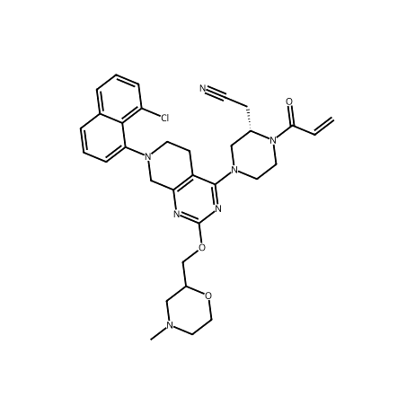 C=CC(=O)N1CCN(c2nc(OCC3CN(C)CCO3)nc3c2CCN(c2cccc4cccc(Cl)c24)C3)C[C@@H]1CC#N